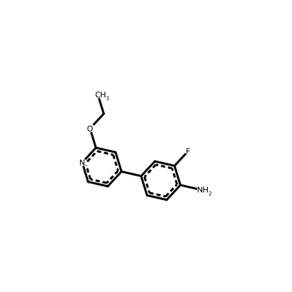 CCOc1cc(-c2ccc(N)c(F)c2)ccn1